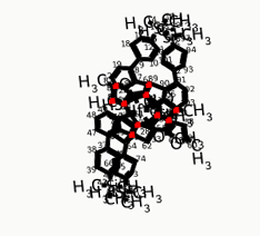 Cc1ccc(C2=Cc3c(-c4ccc([Si](C)(C)C)cc4)cccc3[C]23[SiH](C)[C]2(C(c4ccc(C)o4)=Cc4c(-c5ccc([Si](C)(C)C)cc5)cccc42)[Hf]32([Cl])([Cl])[C]3(C(c4ccc(C)o4)=Cc4c(-c5ccc([Si](C)(C)C)cc5)cccc43)[SiH](C)[C]23C(c2ccc(C)o2)=Cc2c(-c4ccc([Si](C)(C)C)cc4)cccc23)o1